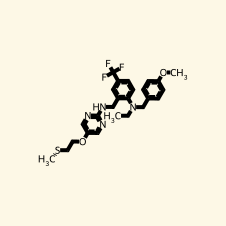 CCN(Cc1ccc(OC)cc1)c1ccc(C(F)(F)F)cc1CNc1ncc(OCCSC)cn1